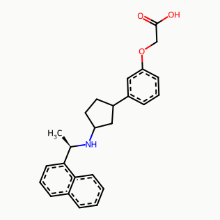 C[C@@H](NC1CCC(c2cccc(OCC(=O)O)c2)C1)c1cccc2ccccc12